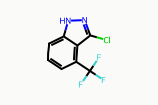 FC(F)(F)c1cccc2[nH]nc(Cl)c12